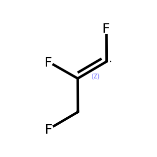 F/[C]=C(\F)CF